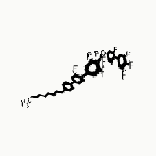 CCCCCCCCCc1ccc(-c2ccc(-c3cc(F)c(C(F)(F)Oc4ccc(-c5cc(F)c(F)c(F)c5)c(F)c4)c(F)c3)c(F)c2)cc1